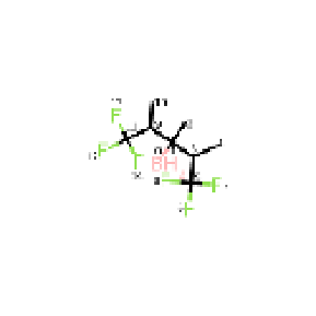 BC(C)(C(C)C(F)(F)F)C(C)C(F)(F)F